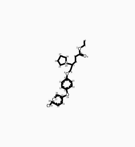 CCOC(=O)CCC(COc1ccc(Oc2ccc(Cl)cc2)cc1)N1CCCC1